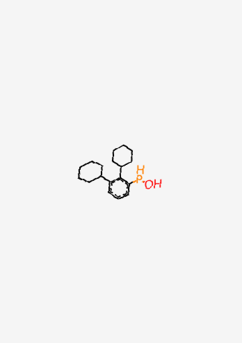 OPc1cccc(C2CCCCC2)c1C1CCCCC1